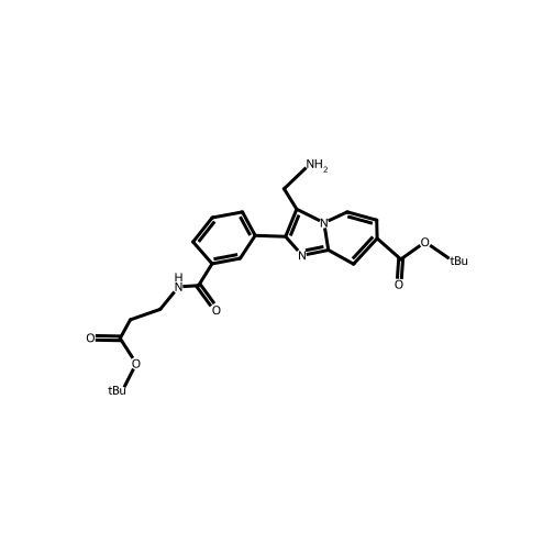 CC(C)(C)OC(=O)CCNC(=O)c1cccc(-c2nc3cc(C(=O)OC(C)(C)C)ccn3c2CN)c1